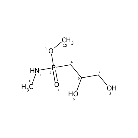 CNP(=O)(CC(O)CO)OC